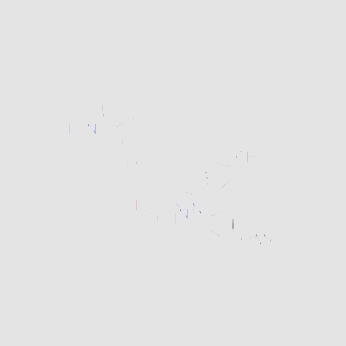 COc1ccc(-n2nc(C(C)(O)CCCOCOC(=O)[C@@H](N)C(C)C)cc2-c2ccc(C)cc2)cc1